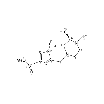 COC(=O)c1cc(CN2CCN(C(C)C)[C@H](C)C2)n(C)c1